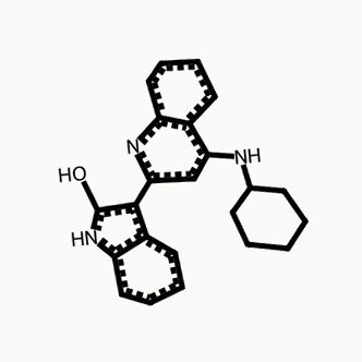 Oc1[nH]c2ccccc2c1-c1cc(NC2CCCCC2)c2ccccc2n1